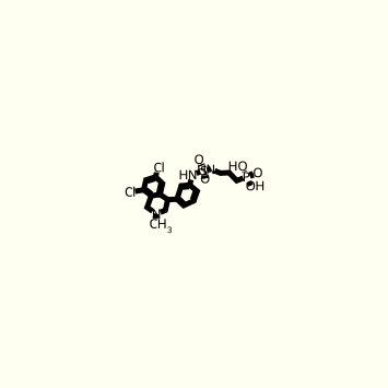 CN1Cc2c(Cl)cc(Cl)cc2C(c2cccc(NS(=O)(=O)NCCCP(=O)(O)O)c2)C1